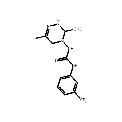 CC1=NNC(C=O)N(NC(=O)Nc2cccc(C(F)(F)F)c2)C1